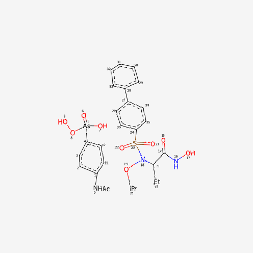 CC(=O)Nc1ccc([As](=O)(O)OO)cc1.CCC(C(=O)NO)N(OC(C)C)S(=O)(=O)c1ccc(-c2ccccc2)cc1